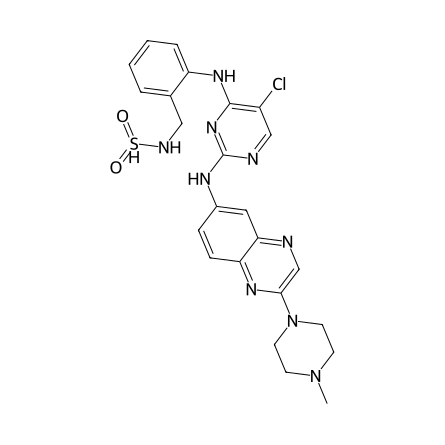 CN1CCN(c2cnc3cc(Nc4ncc(Cl)c(Nc5ccccc5CN[SH](=O)=O)n4)ccc3n2)CC1